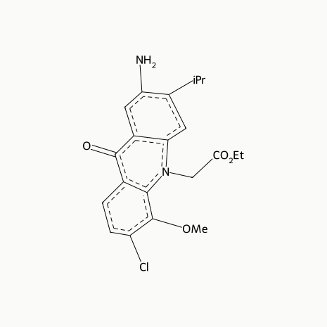 CCOC(=O)Cn1c2cc(C(C)C)c(N)cc2c(=O)c2ccc(Cl)c(OC)c21